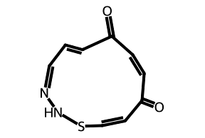 O=C1/C=C\SN/N=C\C=C\C(=O)/C=C\1